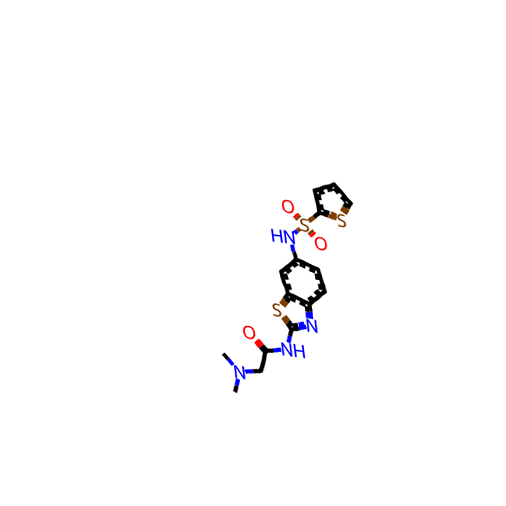 CN(C)CC(=O)Nc1nc2ccc(NS(=O)(=O)c3cccs3)cc2s1